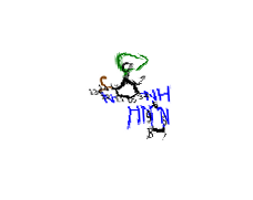 Clc1cc(NC2=NCCN2)cc2ncsc12